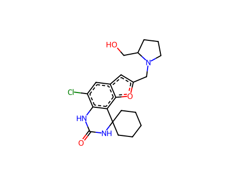 O=C1Nc2c(Cl)cc3cc(CN4CCCC4CO)oc3c2C2(CCCCC2)N1